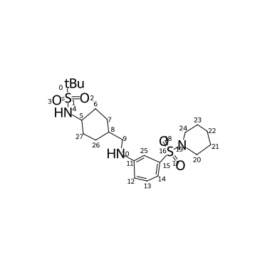 CC(C)(C)S(=O)(=O)NC1CCC(CNc2cccc(S(=O)(=O)N3CCCCC3)c2)CC1